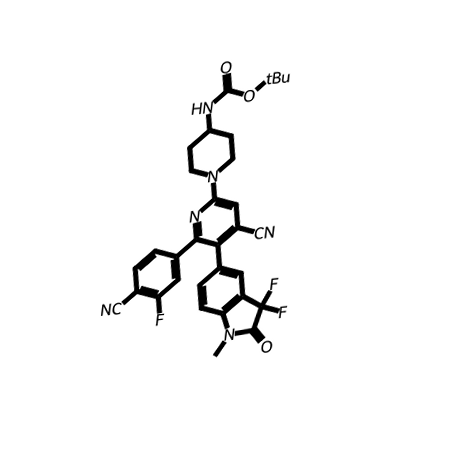 CN1C(=O)C(F)(F)c2cc(-c3c(C#N)cc(N4CCC(NC(=O)OC(C)(C)C)CC4)nc3-c3ccc(C#N)c(F)c3)ccc21